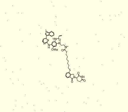 C=CC(=O)Nc1cc(Nc2nccc(-c3cn(C)c4ccccc34)n2)c(OC)cc1N(C)CCN(C)C(=O)CCCCCCCCSc1cccc2c1CN(C1CCC(=O)NC1=O)C2=O